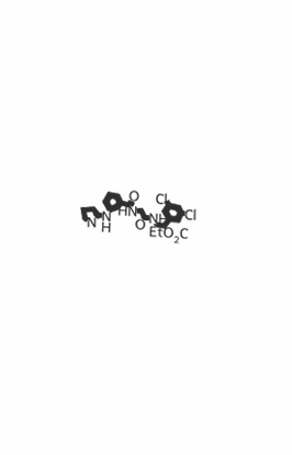 CCOC(=O)C(Cc1cc(Cl)cc(Cl)c1)NC(=O)CNC(=O)c1cccc(NC2=NCCC2)c1